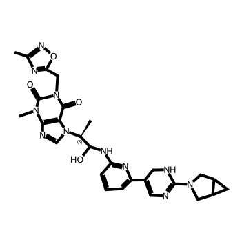 Cc1noc(Cn2c(=O)c3c(ncn3[C@@H](C)C(O)Nc3cccc(C4=CN=C(N5CC6CC6C5)NC4)n3)n(C)c2=O)n1